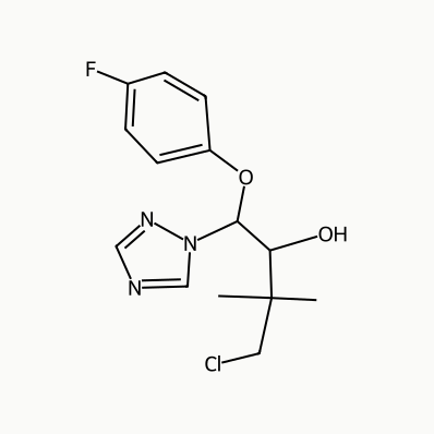 CC(C)(CCl)C(O)C(Oc1ccc(F)cc1)n1cncn1